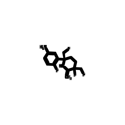 C=C1N[C@](CF)(c2cc(N)ccc2F)CCC1(F)CF